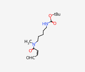 CN(CCCCCNC(=O)OC(C)(C)C)C(=O)/C=C\C=O